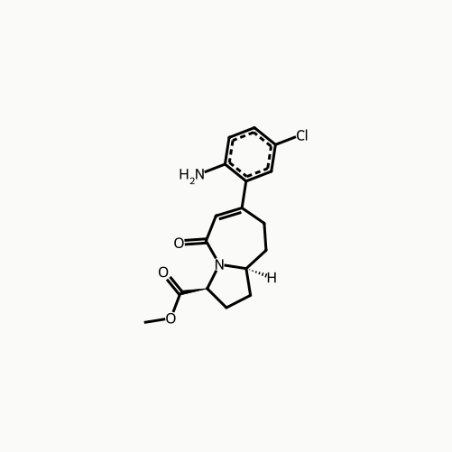 COC(=O)[C@@H]1CC[C@@H]2CCC(c3cc(Cl)ccc3N)=CC(=O)N21